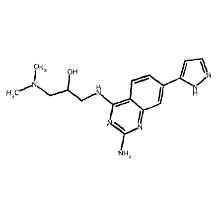 CN(C)CC(O)CNc1nc(N)nc2cc(-c3ccn[nH]3)ccc12